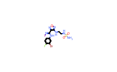 NS(=O)(=O)NCCNc1nonc1/C(=N/I)Nc1ccc(F)c(Br)c1